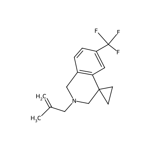 C=C(C)CN1Cc2ccc(C(F)(F)F)cc2C2(CC2)C1